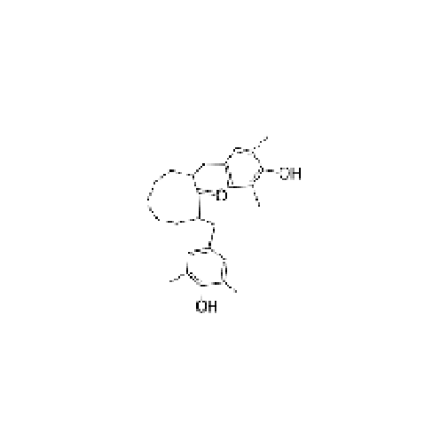 Cc1cc(CC2CCCCCC(Cc3cc(C)c(O)c(C)c3)C2=O)cc(C)c1O